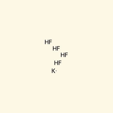 F.F.F.F.[K]